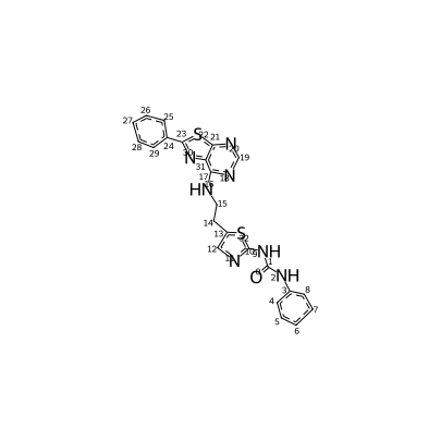 O=C(Nc1ccccc1)Nc1ncc(CCNc2ncnc3sc(-c4ccccc4)nc23)s1